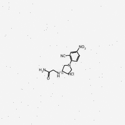 Cl.N#Cc1cc([N+](=O)[O-])ccc1N1CC[C@H](NCC(N)=O)C1